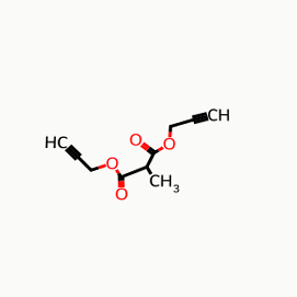 C#CCOC(=O)C(C)C(=O)OCC#C